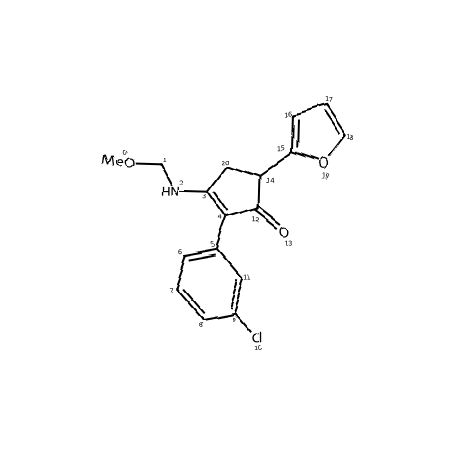 COCNC1=C(c2cccc(Cl)c2)C(=O)C(c2ccco2)C1